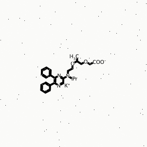 CC(COCC(=O)[O-])OCCN(c1cnc(-c2ccccc2)c(-c2ccccc2)n1)C(C)C.[K+]